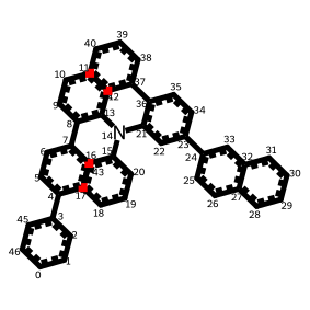 c1ccc(-c2ccc(-c3ccccc3N(c3ccccc3)c3cc(-c4ccc5ccccc5c4)ccc3-c3ccccc3)cc2)cc1